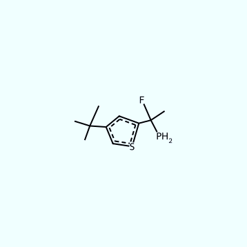 CC(C)(C)c1csc(C(C)(F)P)c1